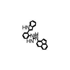 N=C(Nc1ccccc1-c1cc2ccccc2[nH]1)Nc1ccc2cccc3c2c1C=C3